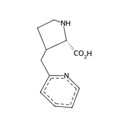 O=C(O)[C@H]1NCCC1Cc1ccccn1